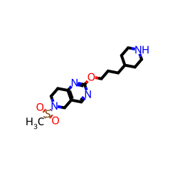 CS(=O)(=O)N1CCc2nc(OCCCC3CCNCC3)ncc2C1